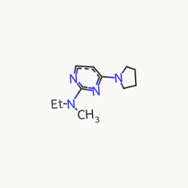 CCN(C)c1nccc(N2CCCC2)n1